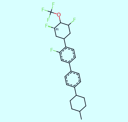 CC1CCC(c2ccc(-c3ccc(C4CC(F)C(OC(F)(F)F)[C@H](F)C4)c(F)c3)cc2)CC1